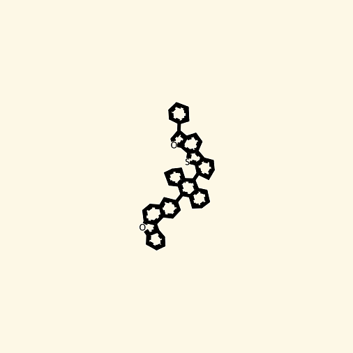 c1ccc(-c2coc3c2ccc2c4cccc(-c5c6ccccc6c(-c6ccc7c(ccc8oc9ccccc9c87)c6)c6ccccc56)c4sc23)cc1